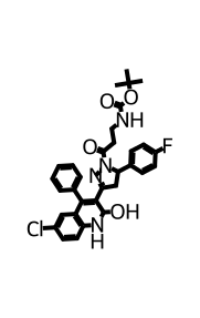 CC(C)(C)OC(=O)NCCC(=O)N1N=C(C2=C(c3ccccc3)c3cc(Cl)ccc3NC2O)CC1c1ccc(F)cc1